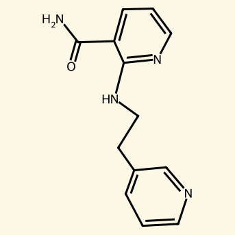 NC(=O)c1cccnc1NCCc1cccnc1